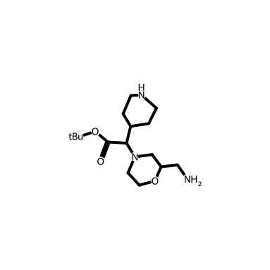 CC(C)(C)OC(=O)C(C1CCNCC1)N1CCOC(CN)C1